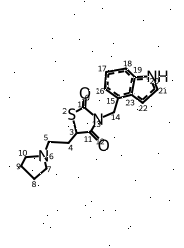 O=C1SC(CCN2CCCC2)C(=O)N1Cc1cccc2[nH]ccc12